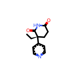 CC[C@]1(c2ccncc2)CCC(=O)NC1=O